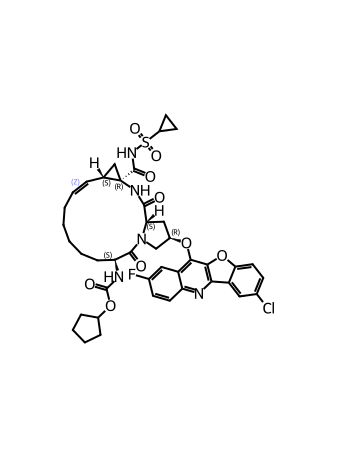 O=C(N[C@H]1CCCCC/C=C\[C@@H]2C[C@@]2(C(=O)NS(=O)(=O)C2CC2)NC(=O)[C@@H]2C[C@@H](Oc3c4cc(F)ccc4nc4c3oc3ccc(Cl)cc34)CN2C1=O)OC1CCCC1